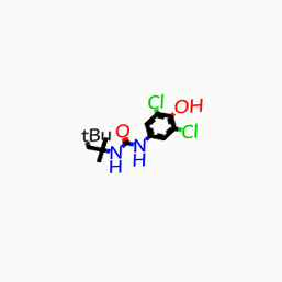 CC(C)(C)CC(C)(C)NC(=O)Nc1cc(Cl)c(O)c(Cl)c1